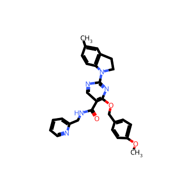 COc1ccc(COc2nc(N3CCc4cc(C)ccc43)ncc2C(=O)NCc2ccccn2)cc1